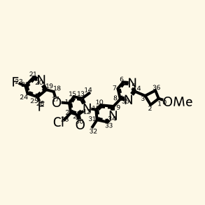 COC1CC(c2nccc(-c3cc(-n4c(C)cc(OCc5ncc(F)cc5F)c(Cl)c4=O)c(C)cn3)n2)C1